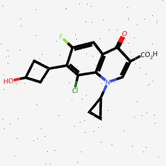 O=C(O)c1cn(C2CC2)c2c(Cl)c(C3CC(O)C3)c(F)cc2c1=O